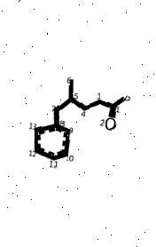 CC(=O)CCC(C)Cc1ccccc1